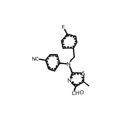 Cc1sc(N(Cc2ccc(F)cc2)c2ccc(C#N)cc2)nc1C=O